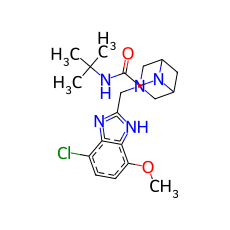 COc1ccc(Cl)c2nc(CN3CC4CC(C3)N4CC(=O)NC(C)(C)C)[nH]c12